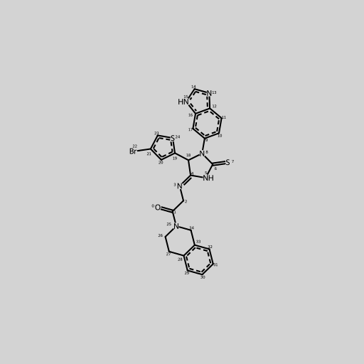 O=C(C/N=C1\NC(=S)N(c2ccc3nc[nH]c3c2)C1c1cc(Br)cs1)N1CCc2ccccc2C1